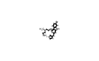 CN(CCN)CCNc1nc(Cc2ccsc2)cc2[nH]c3cc(Br)ccc3c12